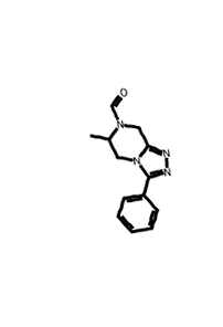 CC1Cn2c(nnc2-c2ccccc2)CN1C=O